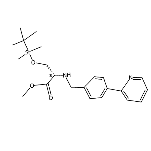 COC(=O)[C@H](CO[Si](C)(C)C(C)(C)C)NCc1ccc(-c2ccccn2)cc1